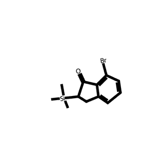 C[Si](C)(C)C1Cc2cccc(Br)c2C1=O